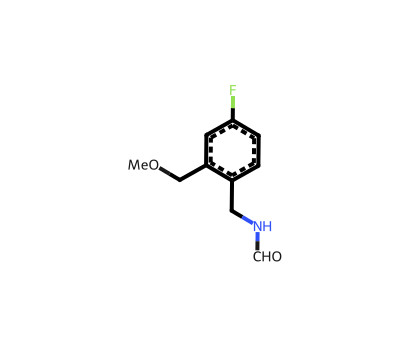 COCc1cc(F)ccc1CNC=O